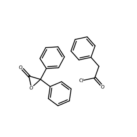 O=C(Cl)Cc1ccccc1.O=C1OC1(c1ccccc1)c1ccccc1